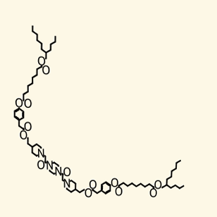 CCCCCCC(CCCC)COC(=O)CCCCCCCC(=O)Oc1ccc(CC(=O)OCCC2CCN(CC(=O)N3CCN(C(=O)CN4CCC(CCOC(=O)Cc5ccc(OC(=O)CCCCCCCC(=O)OCC(CCCC)CCCCCC)cc5)CC4)CC3)CC2)cc1